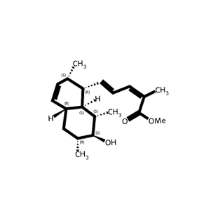 COC(=O)C(C)=CC=C[C@@H]1[C@H]2[C@H](C)[C@@H](O)[C@H](C)C[C@@H]2C=C[C@@H]1C